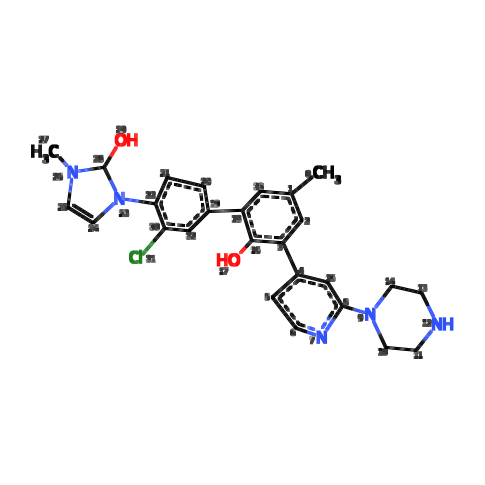 Cc1cc(-c2ccnc(N3CCNCC3)c2)c(O)c(-c2ccc(N3C=CN(C)C3O)c(Cl)c2)c1